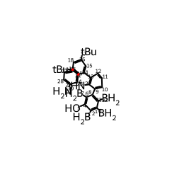 Bc1c(B)c(O)c(B)c(-c2cccc(-c3cc(C(C)(C)C)cc(C(C)(C)C)c3)c2Nc2ccccc2N)c1B